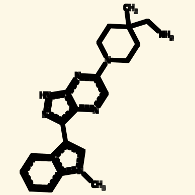 Cn1cc(-c2n[nH]c3nc(N4CCC(C)(CN)CC4)cnc23)c2ccccc21